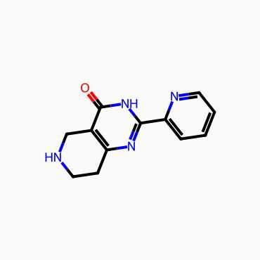 O=c1[nH]c(-c2ccccn2)nc2c1CNCC2